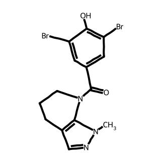 Cn1ncc2c1N(C(=O)c1cc(Br)c(O)c(Br)c1)CCC2